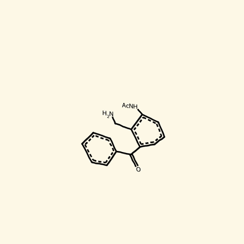 CC(=O)Nc1cccc(C(=O)c2ccccc2)c1CN